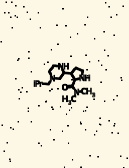 CC(C)CN1CCNC(C2CCNC2C(=O)N(C)C)C1